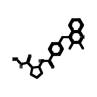 Cc1nc2ccccc2c(Cc2ccc(C(=O)NC3CCCC3C(=O)NO)cc2)c1C